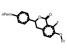 CCCCCc1ccc(C2Cc3ccc(OCC)c(F)c3C(=O)O2)cc1